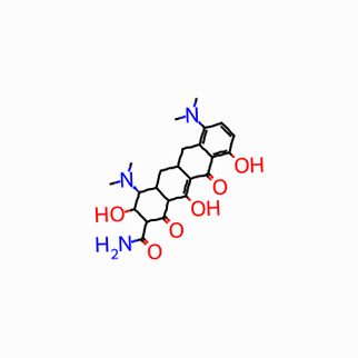 CN(C)c1ccc(O)c2c1CC1CC3C(C(=O)C(C(N)=O)C(O)[C@H]3N(C)C)C(O)=C1C2=O